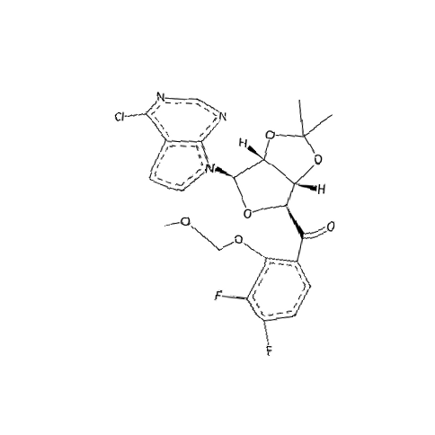 COCOc1c(C(=O)[C@H]2O[C@@H](n3ccc4c(Cl)ncnc43)[C@@H]3OC(C)(C)O[C@@H]32)ccc(F)c1F